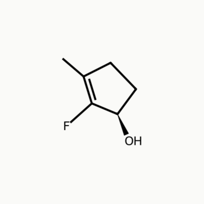 CC1=C(F)[C@H](O)CC1